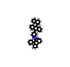 C1=CC2c3ccccc3C3(c4ccccc4-n4c3nc3cc(-c5c6ccccc6c(-c6cccc7ccccc67)c6ccccc56)ccc34)C2C=C1